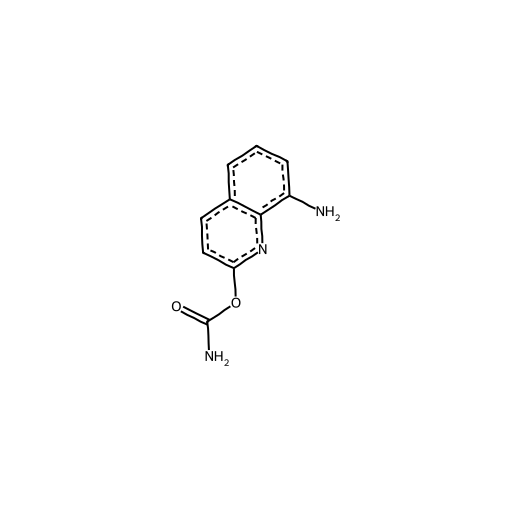 NC(=O)Oc1ccc2cccc(N)c2n1